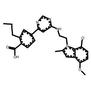 CCCc1cc(-c2cc(NCCn3c(C)cc4c(OC)ccc(Cl)c43)ncn2)ccc1C(=O)O